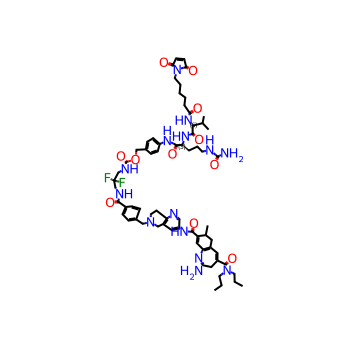 CCCN(CCC)C(=O)C1=CC2=C(C=C(C(=O)Nc3cnc4c(c3)CN(Cc3ccc(C(=O)NCC(F)(F)CNC(=O)OCc5ccc(NC(=O)[C@H](CCCNC(N)=O)NC(=O)[C@@H](NC(=O)CCCCCN6C(=O)C=CC6=O)C(C)C)cc5)cc3)CC4)C(C)C2)N=C(N)C1